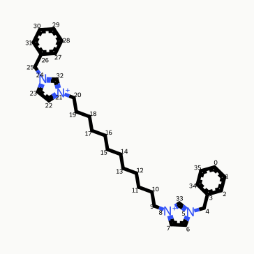 c1ccc(Cn2cc[n+](CCCCCCCCCCCC[n+]3ccn(Cc4ccccc4)c3)c2)cc1